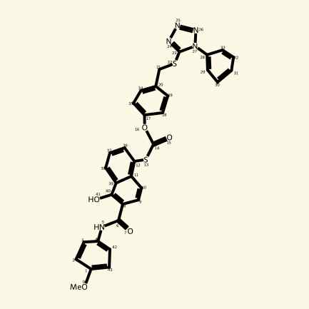 COc1ccc(NC(=O)c2ccc3c(SC(=O)Oc4ccc(CSc5nnnn5-c5ccccc5)cc4)cccc3c2O)cc1